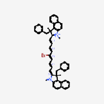 CN1/C(=C/C=C/C=C(Br)/C=C/C=C/C2=[N+](C)c3ccc4ccccc4c3C2(C)Cc2ccccc2)C(C)(Cc2ccccc2)c2c1ccc1ccccc21